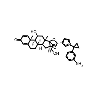 C[C@]12C=CC(=O)C=C1CC[C@H]1[C@@H]3C[C@H]4O[C@@H](c5ccn(C6(c7cccc(N)c7)CC6)c5)O[C@@]4(C(=O)CO)[C@@]3(C)C[C@H](O)[C@@]12F